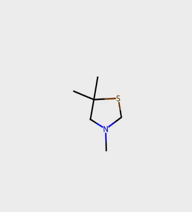 CN1CSC(C)(C)C1